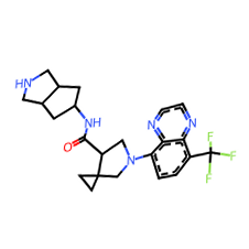 O=C(NC1CC2CNCC2C1)C1CN(c2ccc(C(F)(F)F)c3nccnc23)CC12CC2